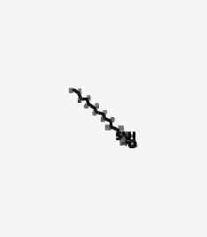 CCCCCCCCCCCCSN[C]=O